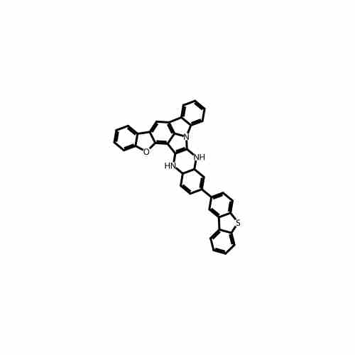 C1=CC2Nc3c(n4c5ccccc5c5cc6c7ccccc7oc6c3c54)NC2C=C1c1ccc2sc3ccccc3c2c1